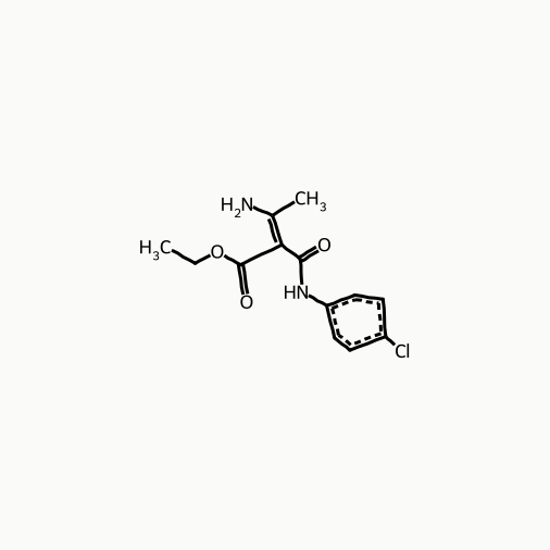 CCOC(=O)/C(C(=O)Nc1ccc(Cl)cc1)=C(/C)N